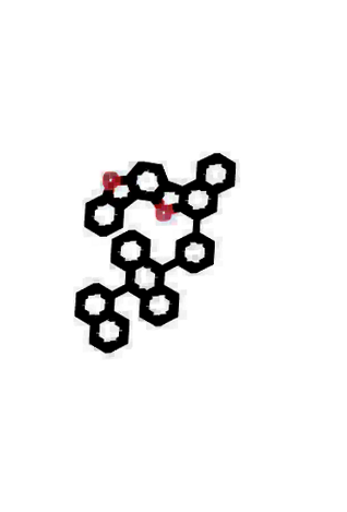 c1cc(-c2c3ccccc3c(-c3cccc4ccccc34)c3ccccc23)cc(-c2cc3ccccc3c3c2oc2c3ccc3oc4ccccc4c32)c1